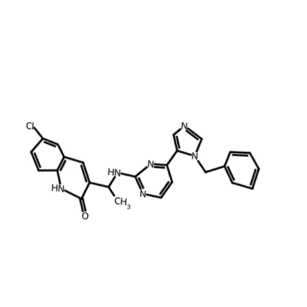 CC(Nc1nccc(-c2cncn2Cc2ccccc2)n1)c1cc2cc(Cl)ccc2[nH]c1=O